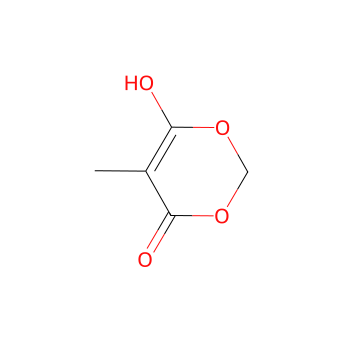 CC1=C(O)OCOC1=O